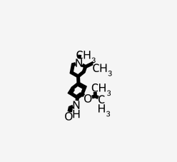 CCC1CC(c2ccc(NC=O)c(OC(C)C)c2)CCN1C